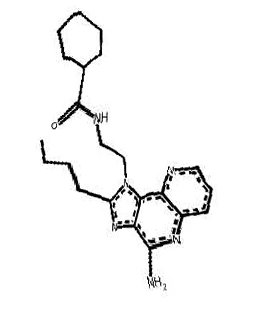 CCCCc1nc2c(N)nc3cccnc3c2n1CCNC(=O)C1CCCCC1